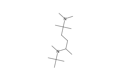 CC(CCC(C)(C)N(C)C)N(C)C(C)(C)C